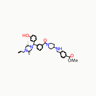 C=CCN1C[C@H](C)N(C(c2cccc(O)c2)c2cccc(C(=O)N3CCC(NCc4ccc(C(=O)OC)cc4)CC3)c2)C[C@H]1C